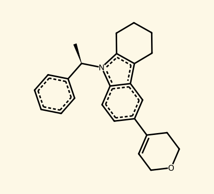 C[C@H](c1ccccc1)n1c2c(c3cc(C4=CCOCC4)ccc31)CCCC2